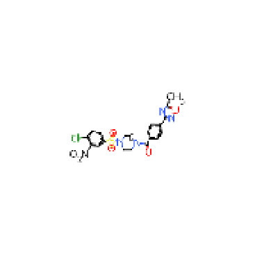 Cc1nc(-c2ccc(C(=O)N3CCN(S(=O)(=O)c4ccc(Cl)c([N+](=O)[O-])c4)CC3)cc2)no1